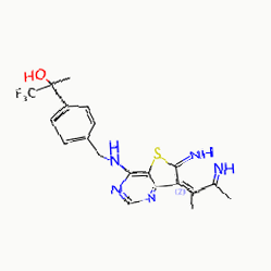 CC(=N)/C(C)=C1\C(=N)Sc2c(NCc3ccc(C(C)(O)C(F)(F)F)cc3)ncnc21